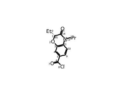 CC[C@H]1Oc2cc(C(=O)Cl)ccc2N(C(C)C)C1=O